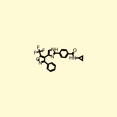 O=C(NC1CC1)c1ccc(-c2nc(-c3c(-c4ccccc4)noc3C(F)(F)F)c[nH]2)cc1